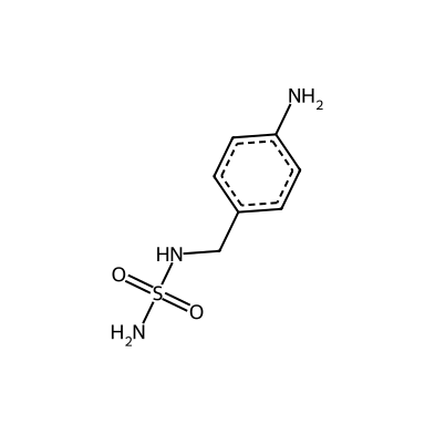 Nc1ccc(CNS(N)(=O)=O)cc1